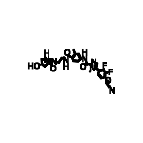 Cc1cc(NC(=O)c2ncc(-c3ccc(OCC#N)c(F)c3F)n2C)ccc1C(=O)NCCNC(=O)[C@H]1C[C@@H](O)CN1